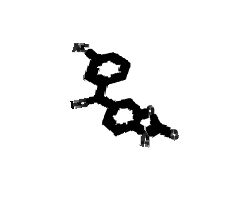 N#Cc1cccc(C(O)c2ccc3[nH]c(=O)oc3c2)c1